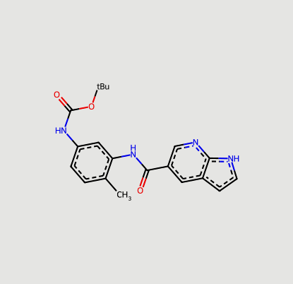 Cc1ccc(NC(=O)OC(C)(C)C)cc1NC(=O)c1cnc2[nH]ccc2c1